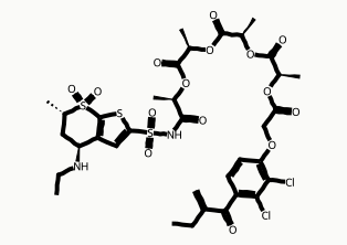 C=C(CC)C(=O)c1ccc(OCC(=O)O[C@H](C)C(=O)O[C@H](C)C(=O)O[C@H](C)C(=O)O[C@H](C)C(=O)NS(=O)(=O)c2cc3c(s2)S(=O)(=O)[C@@H](C)C[C@@H]3NCC)c(Cl)c1Cl